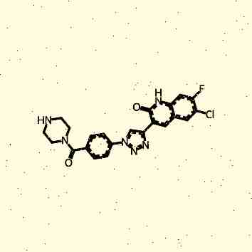 O=C(c1ccc(-n2cc(-c3cc4cc(Cl)c(F)cc4[nH]c3=O)nn2)cc1)N1CCNCC1